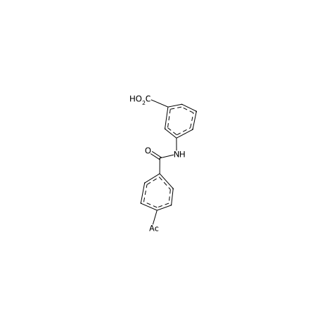 CC(=O)c1ccc(C(=O)Nc2cccc(C(=O)O)c2)cc1